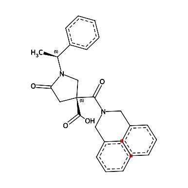 C[C@@H](c1ccccc1)N1C[C@](C(=O)O)(C(=O)N(Cc2ccccc2)Cc2ccccc2)CC1=O